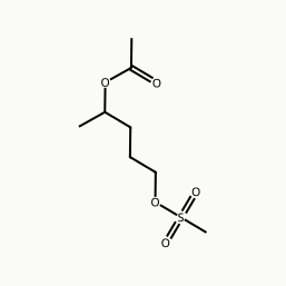 CC(=O)OC(C)CCCOS(C)(=O)=O